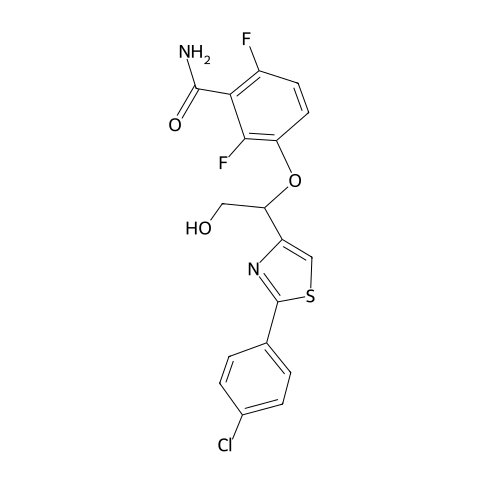 NC(=O)c1c(F)ccc(OC(CO)c2csc(-c3ccc(Cl)cc3)n2)c1F